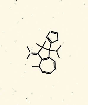 CC1C=CC=CC2=C1C(=[Si](C)C)C(C)(C)[C]2(C1=CC=CC1)[Hf]([CH3])[CH3]